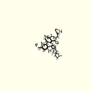 C#CCN1Cc2ncc(-c3nc(CF)ccc3-c3cnn(CC4(C)CCCC4)c3)cc2C1=O